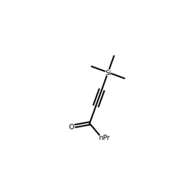 CCCC(=O)C#C[Si](C)(C)C